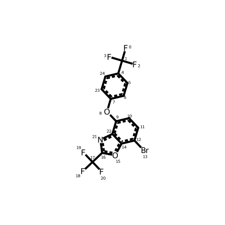 FC(F)(F)c1ccc(Oc2ccc(Br)c3oc(C(F)(F)F)nc23)cc1